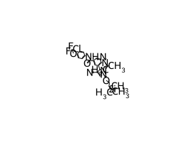 CC(C)n1cnc2cc(C(=O)Nc3ccc(OC(F)(F)Cl)cc3)cc(-c3nn(COCC[Si](C)(C)C)cc3C#N)c21